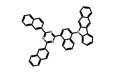 c1ccc2cc(-c3nc(-c4ccc5ccccc5c4)nc(-c4ccc(-n5c6ccccc6c6cc7ccccc7cc65)c5ccccc45)n3)ccc2c1